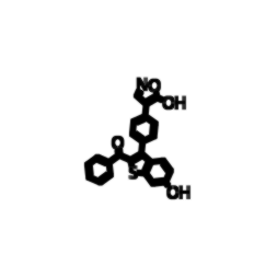 O=C(c1ccccc1)c1sc2cc(O)ccc2c1-c1ccc(-c2cnoc2O)cc1